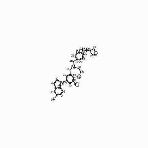 Fc1ccc2c(ccn2-c2cc(Cl)c3c(c2)CN(Cc2cnc(NC4COC4)nc2)CCO3)c1